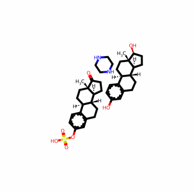 C1CNCCN1.C[C@]12CC[C@@H]3c4ccc(O)cc4CC[C@H]3[C@@H]1CC[C@@H]2O.C[C@]12CC[C@@H]3c4ccc(OS(=O)(=O)O)cc4CC[C@H]3[C@@H]1CCC2=O